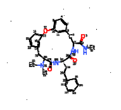 CCNC(=O)[C@@H]1Cc2cccc(c2)Oc2cccc(c2)C[C@H](N(CC)CC)C(=O)N[C@@H](CCc2ccccc2)C(=O)N1